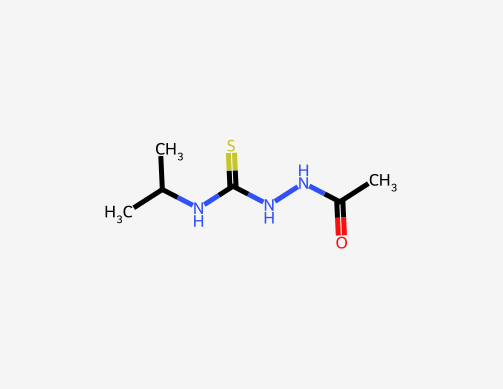 CC(=O)NNC(=S)NC(C)C